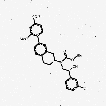 CCOC(=O)c1ccc(-c2ccc3c(c2)C[C@@H](N(C[C@H](O)c2cccc(Cl)c2)C(=O)OC(C)(C)C)CC3)c(OC)c1